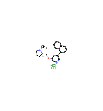 CN1CCC[C@H]1COc1cncc(-c2cccc3ccccc23)c1.Cl.Cl